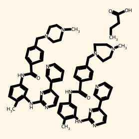 CCCC(=O)O.Cc1ccc(NC(=O)c2ccc(CN3CCN(C)CC3)cc2)cc1Nc1nccc(-c2cccnc2)n1.Cc1ccc(NC(=O)c2ccc(CN3CCN(C)CC3)cc2)cc1Nc1nccc(-c2cccnc2)n1